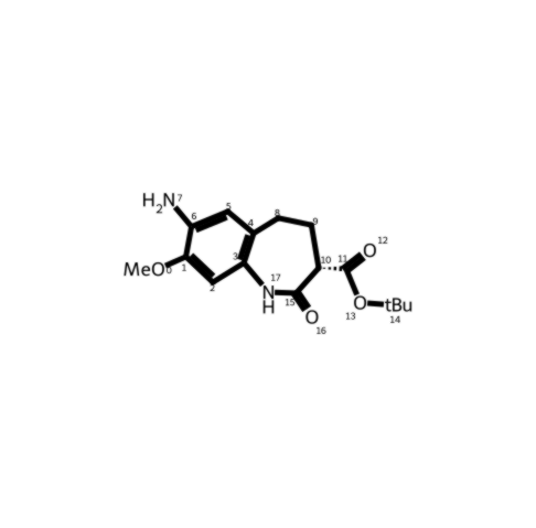 COc1cc2c(cc1N)CC[C@H](C(=O)OC(C)(C)C)C(=O)N2